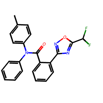 Cc1ccc(N(C(=O)c2ccccc2-c2noc(C(F)F)n2)c2ccccc2)cc1